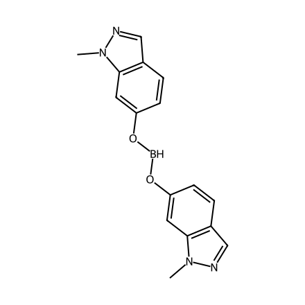 Cn1ncc2ccc(OBOc3ccc4cnn(C)c4c3)cc21